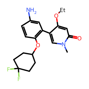 CCOc1cc(=O)n(C)cc1-c1cc(N)ccc1OC1CCC(F)(F)CC1